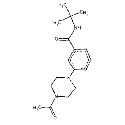 CC(=O)N1CCN(c2cccc(C(=O)NC(C)(C)C)c2)CC1